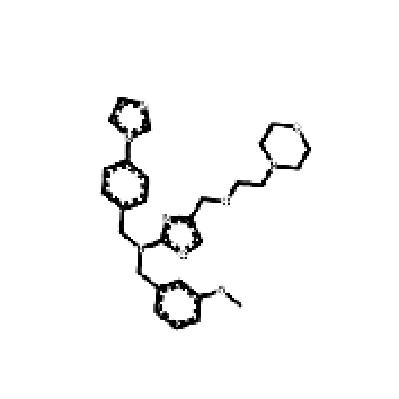 COc1cccc(CN(Cc2ccc(-n3ccnc3)cc2)c2nc(COCCN3CCOCC3)co2)c1